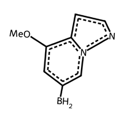 Bc1cc(OC)c2ccnn2c1